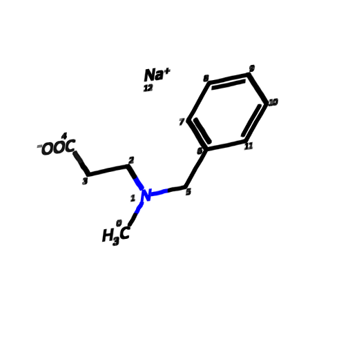 CN(CCC(=O)[O-])Cc1ccccc1.[Na+]